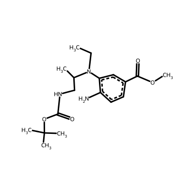 CCN(c1cc(C(=O)OC)ccc1N)C(C)CNC(=O)OC(C)(C)C